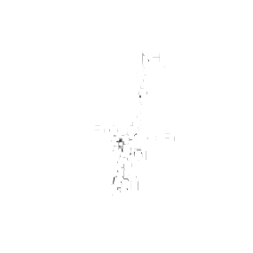 CCOC(=O)C(COCSCCOCCOCCN)(COP(=O)(O)O[C@@H]1C[C@H](n2cc(C)c(=O)[nH]c2=O)OC1CO)C(=O)OCC